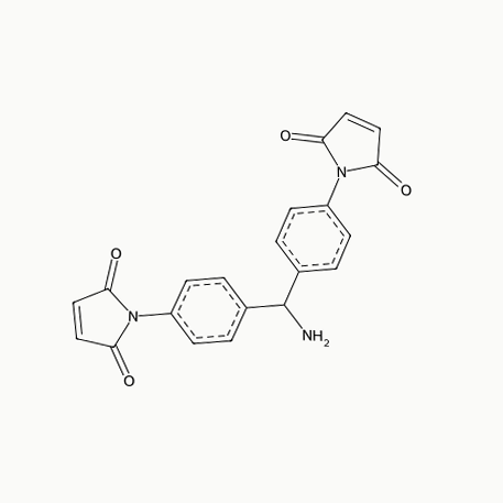 NC(c1ccc(N2C(=O)C=CC2=O)cc1)c1ccc(N2C(=O)C=CC2=O)cc1